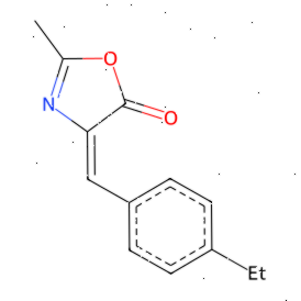 CCc1ccc(C=C2N=C(C)OC2=O)cc1